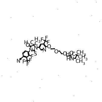 CC(NC(=O)COCCOCCOc1ncc(N2C(=S)N(c3ccc(C#N)c(C(F)(F)F)c3F)C(=O)C2(C)C)cc1C(F)(F)F)C(C)(C)C